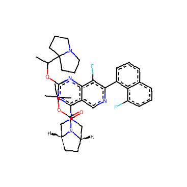 CC(Oc1nc(N2C[C@H]3CC[C@@H](C2)N3C(=O)OC(C)(C)C)c2cnc(-c3cccc4cccc(F)c34)c(F)c2n1)C12CCCN1CCC2